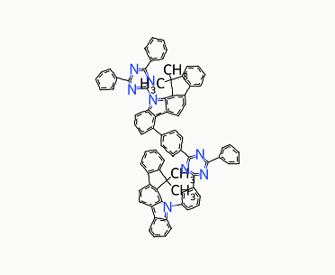 CC1(C)c2ccccc2-c2ccc3c4ccccc4n(-c4cccc(-c5nc(-c6ccccc6)nc(-c6ccc(-c7cccc8c7c7ccc9c(c7n8-c7nc(-c8ccccc8)nc(-c8ccccc8)n7)C(C)(C)c7ccccc7-9)cc6)n5)c4)c3c21